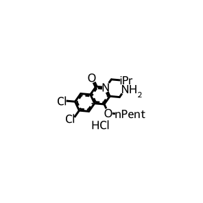 CCCCCOc1c(CN)n(CC(C)C)c(=O)c2cc(Cl)c(Cl)cc12.Cl